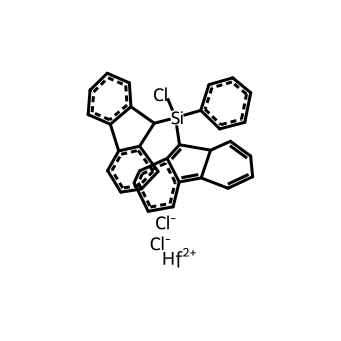 Cl[Si](C1=c2ccccc2=C2C=CC=CC21)(c1ccccc1)C1c2ccccc2-c2ccccc21.[Cl-].[Cl-].[Hf+2]